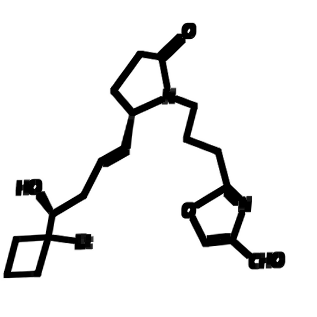 CCC1([C@@H](O)C/C=C/[C@H]2CCC(=O)N2CCCc2nc(C=O)co2)CCC1